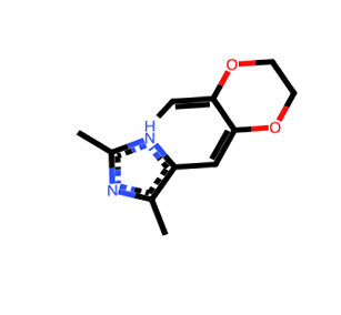 C/C=C1/OCCO/C1=C/c1[nH]c(C)nc1C